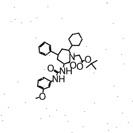 COc1cccc(NC(=O)NC2CC(c3ccccc3)CC(C3CCCCC3)N(CC(=O)OC(C)(C)C)C2=O)c1